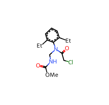 CCc1cccc(CC)c1N(CNC(=O)OC)C(=O)CCl